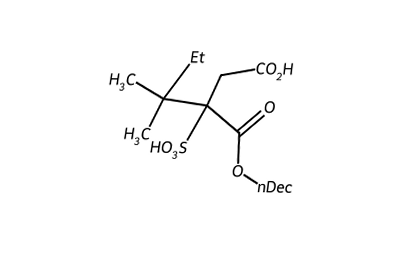 CCCCCCCCCCOC(=O)C(CC(=O)O)(C(C)(C)CC)S(=O)(=O)O